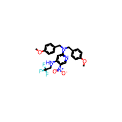 COc1ccc(CN(Cc2ccc(OC)cc2)c2cc(NCC(F)(F)F)c([N+](=O)[O-])cn2)cc1